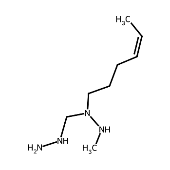 C/C=C\CCCN(CNN)NC